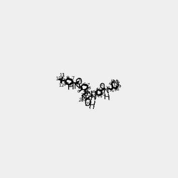 Cc1c(NC(=O)c2ccc(C(C)(C)C)cc2)cccc1-c1cn(C)c(=O)c(Nc2ccc(C(=O)NCCc3ccncc3)cc2)n1